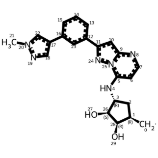 [CH2][C@@H]1C[C@@H](Nc2ccnc3cc(-c4cccc(-c5cnn(C)c5)c4)nn23)[C@H](O)[C@@H]1O